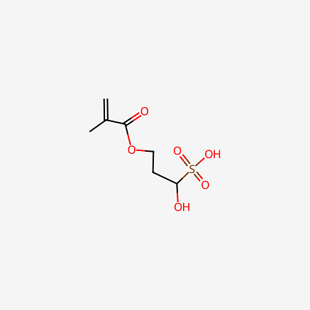 C=C(C)C(=O)OCCC(O)S(=O)(=O)O